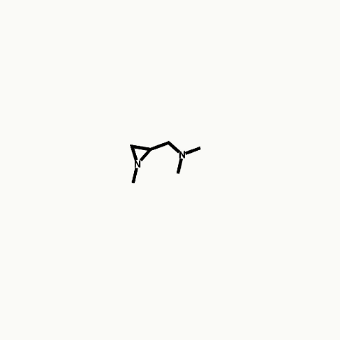 CN(C)CC1CN1C